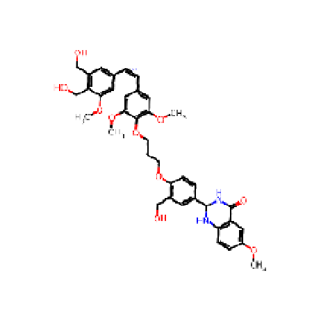 COc1ccc2c(c1)C(=O)NC(c1ccc(OCCCOc3c(OC)cc(/C=C\c4cc(CO)c(CO)c(OC)c4)cc3OC)c(CO)c1)N2